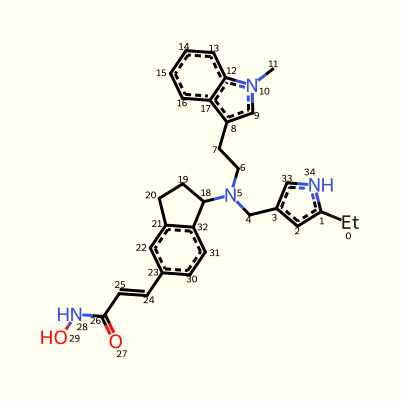 CCc1cc(CN(CCc2cn(C)c3ccccc23)C2CCc3cc(C=CC(=O)NO)ccc32)c[nH]1